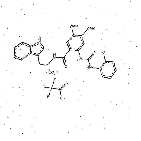 COc1cc(NC(=O)Nc2ccccc2Cl)c(C(=O)N[C@@H](Cc2c[nH]c3ccccc23)C(=O)O)cc1OC.O=C(O)C(F)(F)F